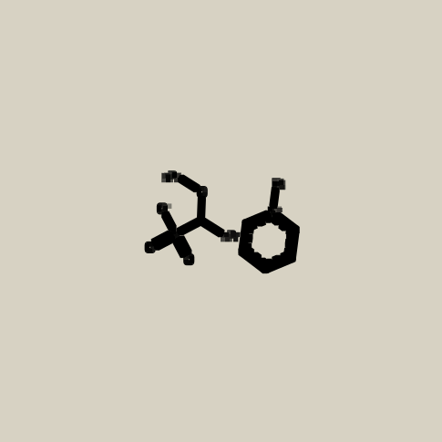 CCCOC(CCC)S(=O)(=O)[O-].CC[n+]1ccccc1